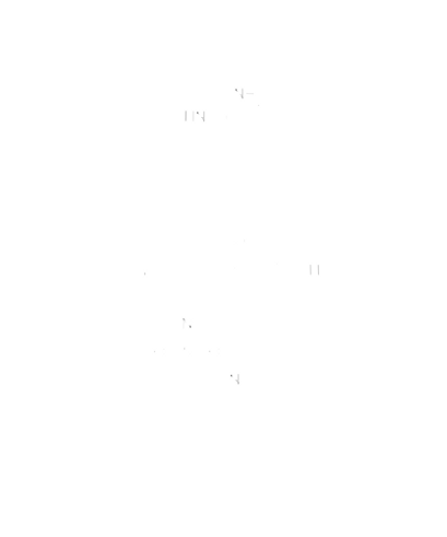 Cc1c(Cc2ccc(C(=N)N)cc2)oc2cc(NS(=O)(=O)c3cccc4cccnc34)ccc12.Cl